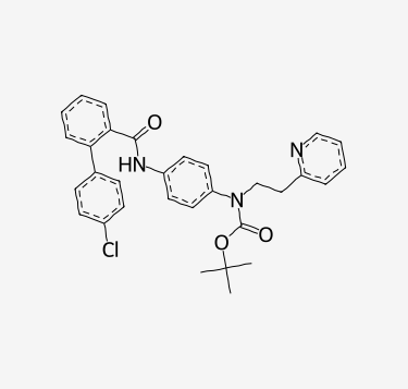 CC(C)(C)OC(=O)N(CCc1ccccn1)c1ccc(NC(=O)c2ccccc2-c2ccc(Cl)cc2)cc1